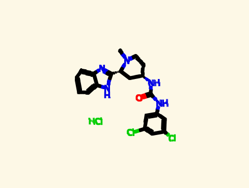 CN1CC[C@@H](NC(=O)Nc2cc(Cl)cc(Cl)c2)C[C@@H]1c1nc2ccccc2[nH]1.Cl